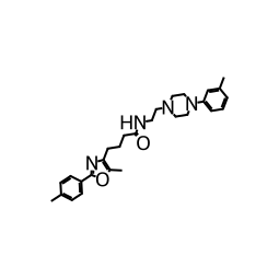 Cc1ccc(-c2nc(CCCC(=O)NCCN3CCN(c4cccc(C)c4)CC3)c(C)o2)cc1